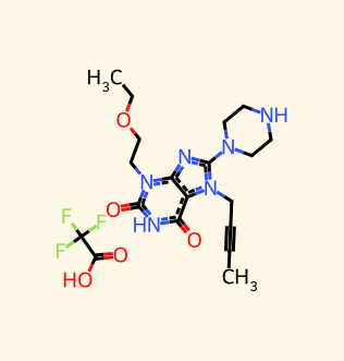 CC#CCn1c(N2CCNCC2)nc2c1c(=O)[nH]c(=O)n2CCOCC.O=C(O)C(F)(F)F